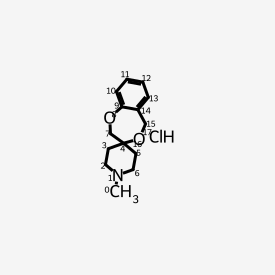 CN1CCC2(CC1)COc1ccccc1CO2.Cl